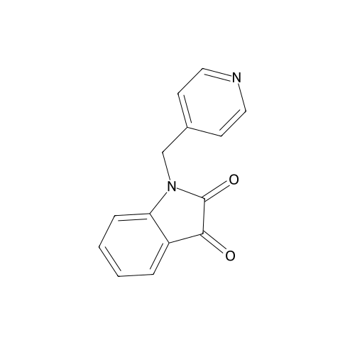 O=C1C(=O)N(Cc2ccncc2)c2ccccc21